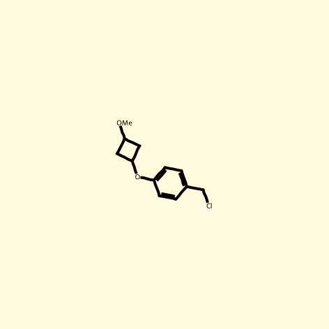 COC1CC(Oc2ccc(CCl)cc2)C1